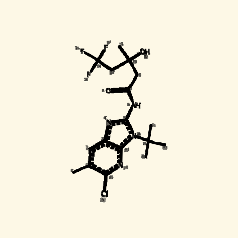 Cc1cc2nc(NC(=O)CC(C)(O)CC(F)(F)F)n(C(C)(C)C)c2nc1Cl